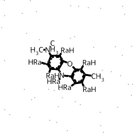 Cc1[c]([RaH])[c]([RaH])c2c([c]1[RaH])Oc1[c]([RaH])c(N(C)C)[c]([RaH])[c]([RaH])c1[N]2[RaH]